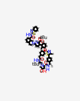 Cc1ncsc1-c1ccc([C@H](C)NC(=O)[C@@H]2C[C@@H](O)CN2CC(NC(=O)CC2CCC(Oc3cccc(-c4ccc(N5CCc6cccc(C(=O)Nc7nc8ccccc8s7)c6C5)nc4C(=O)OC(C)(C)C)c3C)CC2)C(C)(C)C)cc1